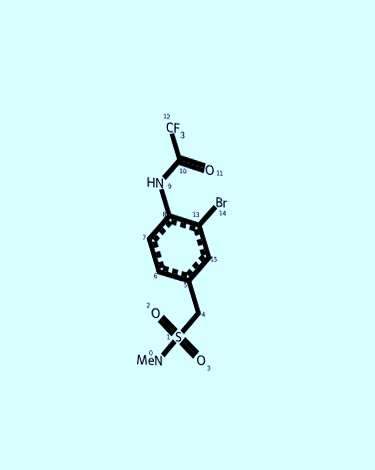 CNS(=O)(=O)Cc1ccc(NC(=O)C(F)(F)F)c(Br)c1